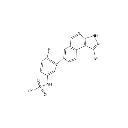 CCCS(=O)(=O)Nc1ccc(F)c(-c2ccc3c(cnc4[nH]nc(Br)c43)c2)c1